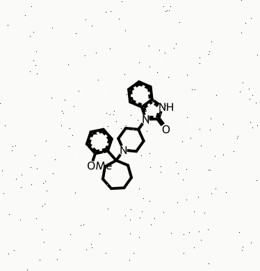 COc1ccccc1C1(N2CCC(n3c(=O)[nH]c4ccccc43)CC2)CCCCCC1